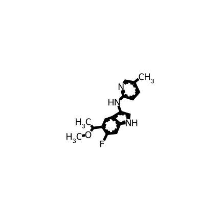 COC(C)c1cc2c(Nc3ccc(C)cn3)c[nH]c2cc1F